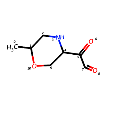 CC1CNC(C(=O)C=O)CO1